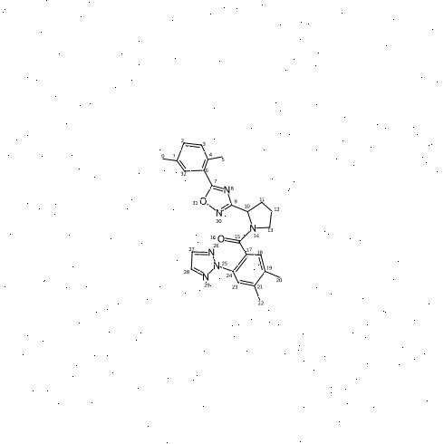 Cc1ccc(C)c(-c2nc(C3CCCN3C(=O)c3cc(C)c(C)cc3-n3nccn3)no2)c1